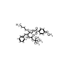 CCCCOC(CNS(=O)(=O)c1ccc(OC)cc1)C(Cc1ccccc1)NC(=O)OC(C)(C)C